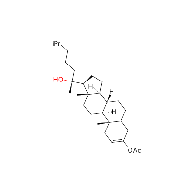 CC(=O)OC1=CC[C@@]2(C)C(CC[C@H]3[C@@H]4CC[C@H]([C@](C)(O)CCCC(C)C)[C@@]4(C)CC[C@@H]32)C1